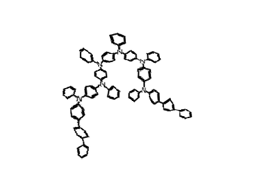 c1ccc(-c2ccc(-c3ccc(N(c4ccccc4)c4ccc(N(c5ccccc5)c5ccc(N(c6ccccc6)c6ccc(N(c7ccccc7)c7ccc(N(c8ccccc8)c8ccc(N(c9ccccc9)c9ccc(-c%10ccc(-c%11ccccc%11)cc%10)cc9)cc8)cc7)cc6)cc5)cc4)cc3)cc2)cc1